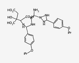 CC(C)Oc1ccc(C(NN=C(N)N2NC(c3ccc(OC(C)C)cc3)N2)NC(C(=O)O)C(O)(CC(=O)O)C(=O)O)cc1